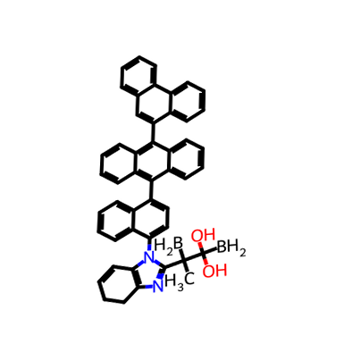 BC(O)(O)C(B)(C)c1nc2c(n1-c1ccc(-c3c4ccccc4c(-c4cc5ccccc5c5ccccc45)c4ccccc34)c3ccccc13)C=CCC2